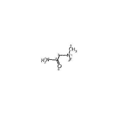 CN(F)CC(N)=O